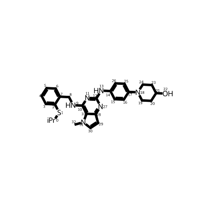 CC(C)Sc1ccccc1CNc1nc(Nc2ccc(N3CCC(O)CC3)cc2)nc2ccn(C)c12